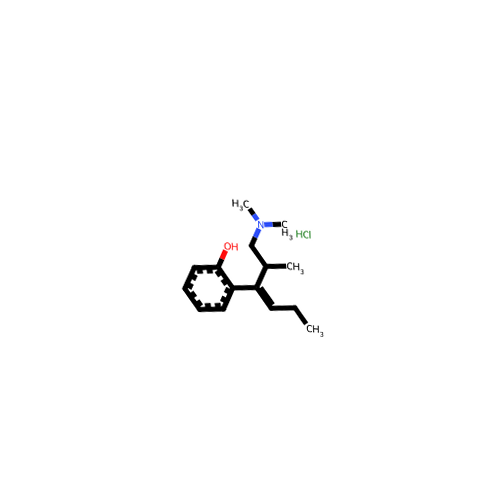 CCC=C(c1ccccc1O)C(C)CN(C)C.Cl